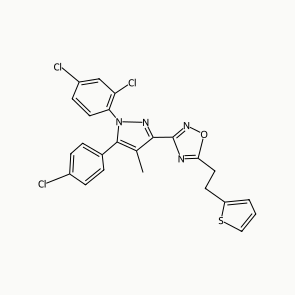 Cc1c(-c2noc(CCc3cccs3)n2)nn(-c2ccc(Cl)cc2Cl)c1-c1ccc(Cl)cc1